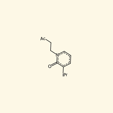 CC(=O)CCn1cccc(C(C)C)c1=O